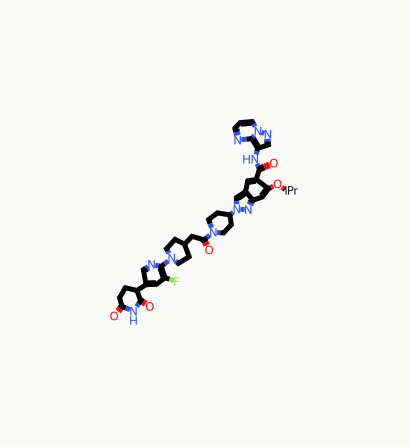 CC(C)Oc1cc2nn(C3CCN(C(=O)CC4CCN(c5ncc(C6CCC(=O)NC6=O)cc5F)CC4)CC3)cc2cc1C(=O)Nc1cnn2cccnc12